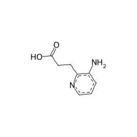 Nc1cccnc1CCC(=O)O